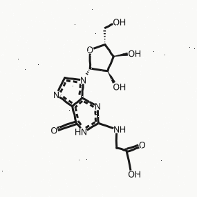 O=C(O)CNc1nc2c(ncn2[C@@H]2O[C@H](CO)[C@@H](O)[C@H]2O)c(=O)[nH]1